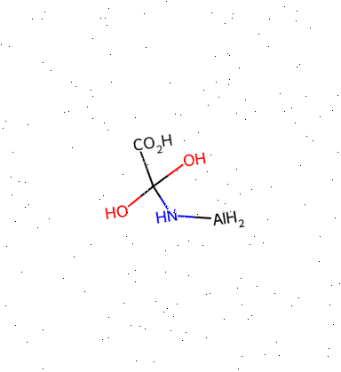 O=C(O)C(O)(O)[NH][AlH2]